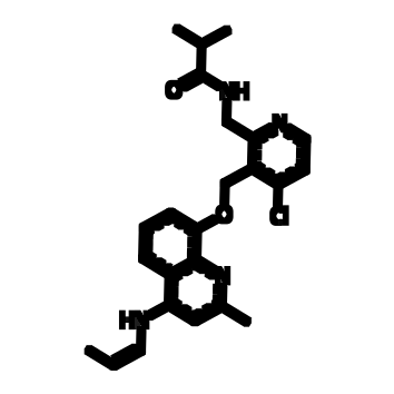 C/C=C\Nc1cc(C)nc2c(OCc3c(Cl)ccnc3CNC(=O)C(C)C)cccc12